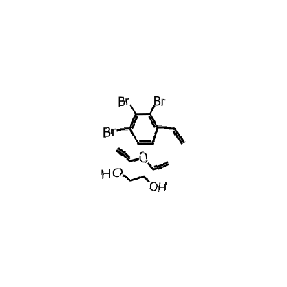 C=COC=C.C=Cc1ccc(Br)c(Br)c1Br.OCCO